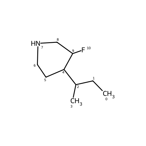 CCC(C)C1CCNCC1F